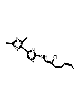 C\C=C/C=C\C(Cl)=C\Nc1nc(-c2sc(C)nc2C)cs1